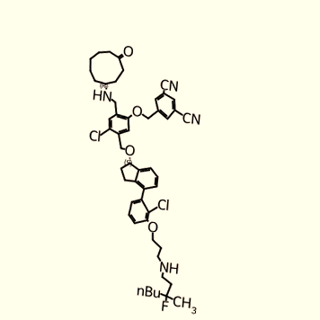 CCCCC(C)(F)CCNCCCOc1cccc(-c2cccc3c2CC[C@@H]3OCc2cc(OCc3cc(C#N)cc(C#N)c3)c(CN[C@@H]3CCCCCC(=O)CC3)cc2Cl)c1Cl